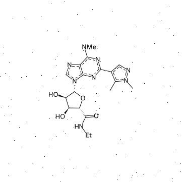 CCNC(=O)[C@H]1O[C@@H](n2cnc3c(NC)nc(-c4cnn(C)c4C)nc32)[C@H](O)[C@@H]1O